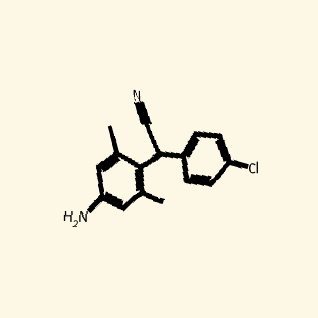 Cc1cc(N)cc(C)c1C(C#N)c1ccc(Cl)cc1